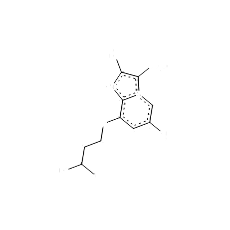 CCOC(=O)c1c(C)nc2c(OCCC(C)I)cc(C)cn12